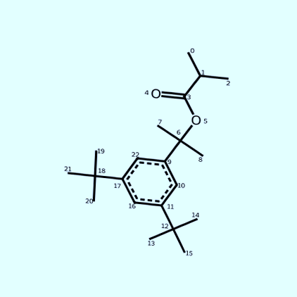 CC(C)C(=O)OC(C)(C)c1cc(C(C)(C)C)cc(C(C)(C)C)c1